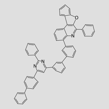 c1ccc(-c2ccc(-c3cc(-c4cccc(-c5cccc(-c6cccc7c6nc(-c6ccccc6)c6oc8ccccc8c67)c5)c4)nc(-c4ccccc4)n3)cc2)cc1